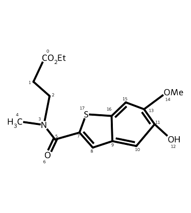 CCOC(=O)CCN(C)C(=O)c1cc2cc(O)c(OC)cc2s1